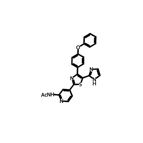 CC(=O)Nc1cc(-c2nc(-c3ccc(Oc4ccccc4)cc3)c(-c3ncc[nH]3)s2)ccn1